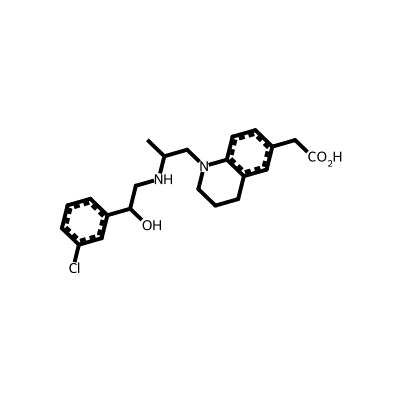 CC(CN1CCCc2cc(CC(=O)O)ccc21)NCC(O)c1cccc(Cl)c1